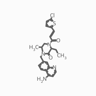 CCC1C(=O)N(Cc2ccc3c(N)ccnc3c2)C(C)CN1C(=O)/C=C/c1ccc(Cl)s1